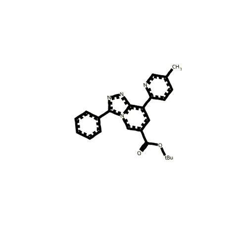 Cc1ccc(-c2cc(C(=O)OC(C)(C)C)cn3c(-c4ccccc4)nnc23)nc1